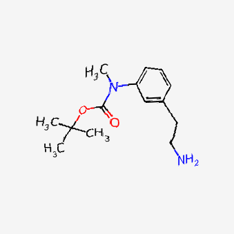 CN(C(=O)OC(C)(C)C)c1cccc(CCN)c1